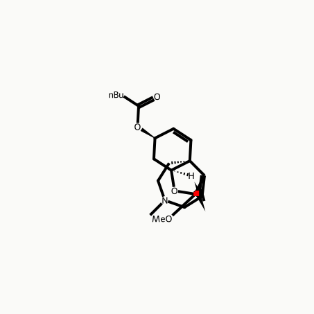 CCCCC(=O)O[C@H]1C=C[C@@]23CCN(C)Cc4ccc(OC)c(c42)O[C@H]3C1